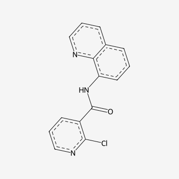 O=C(Nc1cccc2cccnc12)c1cccnc1Cl